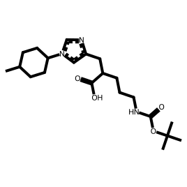 CC1CCC(n2cnc(CC(CCCNC(=O)OC(C)(C)C)C(=O)O)c2)CC1